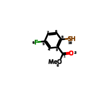 COC(=O)c1cc(F)ccc1S